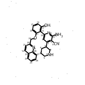 N#Cc1c(C2CCCNC2)cc(-c2c(O)cccc2OCc2ccc3ccccc3n2)nc1N